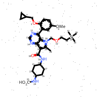 COc1ccc(OCC2CC2)c(-c2ncnc3c(C(=O)NC4CCC(NC(=O)O)CC4)c(C)n(COCC[Si](C)(C)C)c23)c1